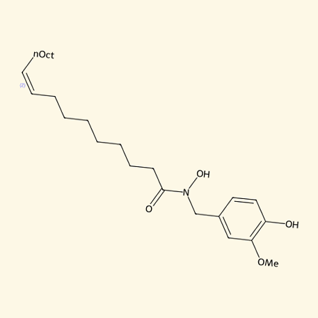 CCCCCCCC/C=C\CCCCCCCC(=O)N(O)Cc1ccc(O)c(OC)c1